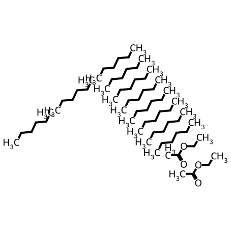 CCCCCC.CCCCCC.CCCCCC.CCCCCC.CCCCCC.CCCCCC.CCCCCC.CCCCCC.CCCCCC.CCCCCC.CCOC(C)=O.CCOC(C)=O